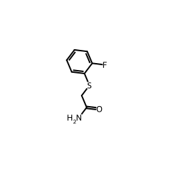 NC(=O)CSc1ccccc1F